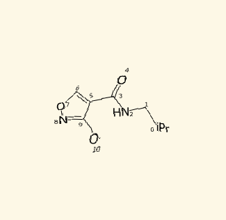 CC(C)CNC(=O)c1conc1[O]